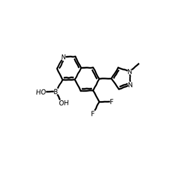 Cn1cc(-c2cc3cncc(B(O)O)c3cc2C(F)F)cn1